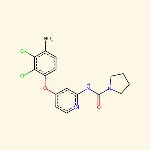 O=C(Nc1cc(Oc2ccc([N+](=O)[O-])c(Cl)c2Cl)ccn1)N1CCCC1